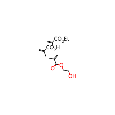 C=C(C)C(=O)O.C=C(C)C(=O)OCC.C=C(C)C(=O)OCCO